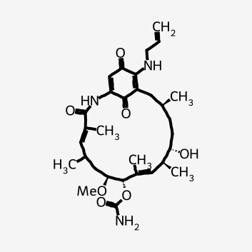 C=CCNC1=C2C[C@@H](C)CC[C@H](O)[C@@H](C)/C=C(\C)[C@H](OC(N)=O)[C@@H](OC)CC(C)/C=C(\C)C(=O)NC(=CC1=O)C2=O